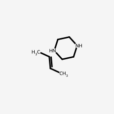 C1CNCCN1.CC=CC